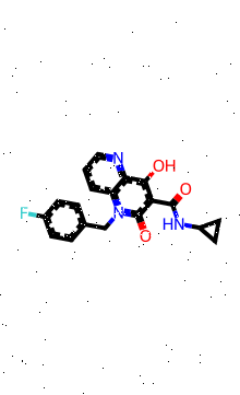 O=C(NC1CC1)c1c(O)c2ncccc2n(Cc2ccc(F)cc2)c1=O